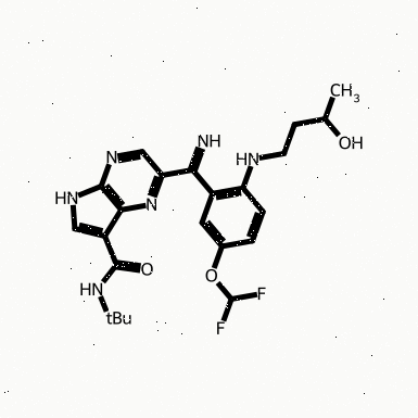 CC(O)CCNc1ccc(OC(F)F)cc1C(=N)c1cnc2[nH]cc(C(=O)NC(C)(C)C)c2n1